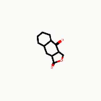 O=C1OCC2C(=O)C3CCCCC3CC12